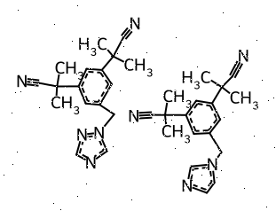 CC(C)(C#N)c1cc(Cn2ccnc2)cc(C(C)(C)C#N)c1.CC(C)(C#N)c1cc(Cn2cncn2)cc(C(C)(C)C#N)c1